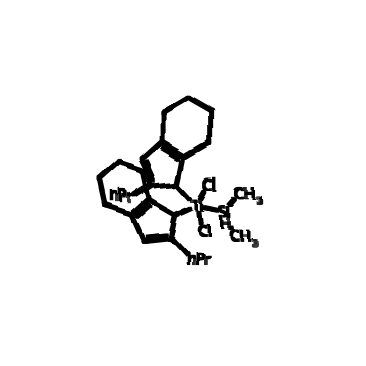 CCCC1=CC2=C(CCCC2)[CH]1[Ti]([Cl])([Cl])([CH]1C(CCC)=CC2=C1CCCC2)[SiH](C)C